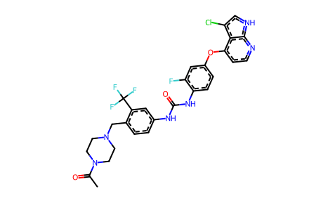 CC(=O)N1CCN(Cc2ccc(NC(=O)Nc3ccc(Oc4ccnc5[nH]cc(Cl)c45)cc3F)cc2C(F)(F)F)CC1